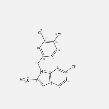 O=C(O)c1cc2ccc(Cl)cc2n1Cc1ccc(Cl)c(Cl)c1